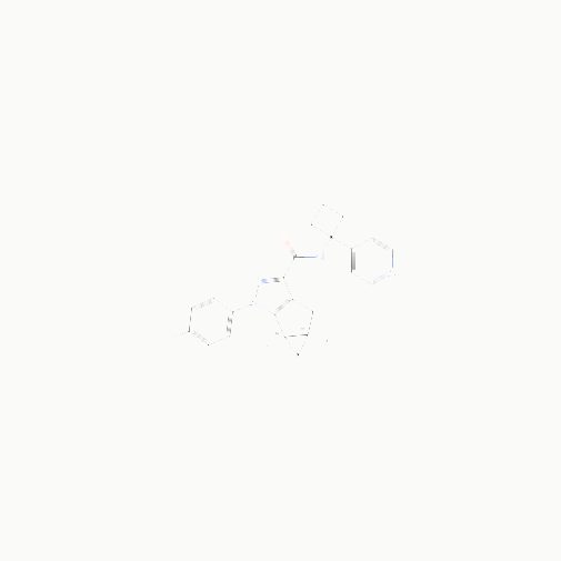 O=C(NC1(c2ccncc2)CCC1)c1nn(-c2ccc(F)cc2)c2c1C[C@H]1C[C@@H]21